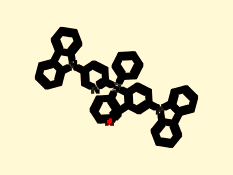 N#Cc1cc(-n2c3ccccc3c3ccccc32)ccc1[Si](c1ccccc1)(c1ccccc1)c1ccc(-n2c3ccccc3c3ccccc32)cn1